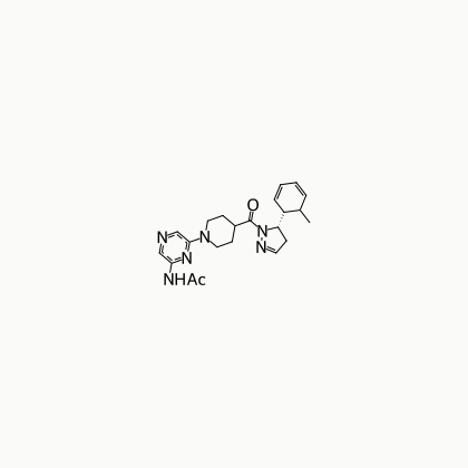 CC(=O)Nc1cncc(N2CCC(C(=O)N3N=CC[C@H]3C3C=CC=CC3C)CC2)n1